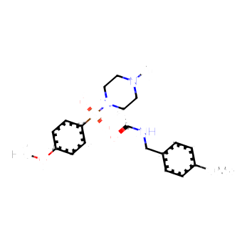 COc1ccc(CNC(=O)[C@H]2CN(C(C)=O)CCN2S(=O)(=O)c2ccc(OC(F)(F)F)cc2)cc1